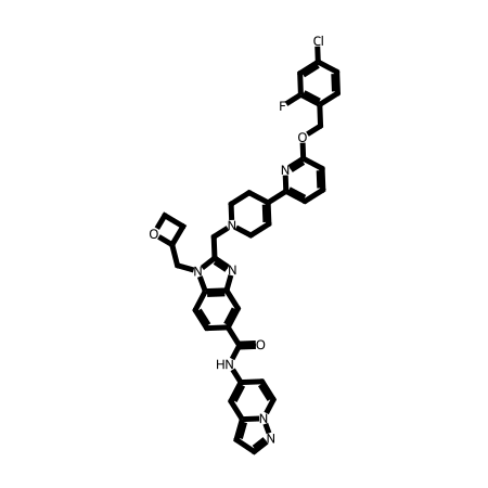 O=C(Nc1ccn2nccc2c1)c1ccc2c(c1)nc(CN1CC=C(c3cccc(OCc4ccc(Cl)cc4F)n3)CC1)n2CC1CCO1